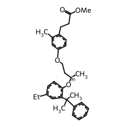 CCc1ccc(O[C@H](C)CCOc2ccc(CCC(=O)OC)c(C)c2)c(C(C)(C)c2ccccc2)c1